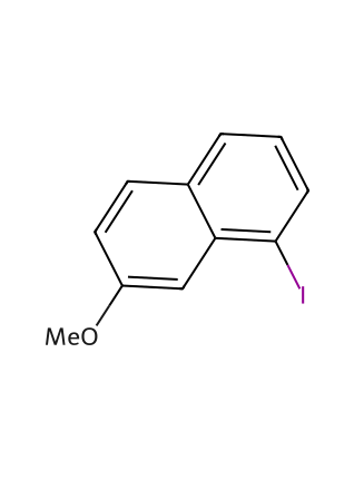 COc1ccc2cccc(I)c2c1